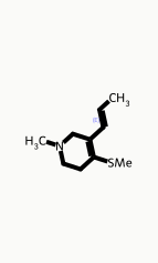 C/C=C/C1=C(SC)CCN(C)C1